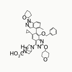 Cc1ccc2c(cnn2C2CCCCO2)c1-c1c(C2CC2)cc2c(N3C[C@@H]4CC3CN4C(=O)O)nc(OC3CCOCC3)nc2c1OCc1ccccc1